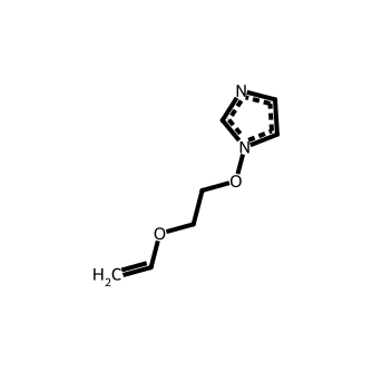 C=COCCOn1ccnc1